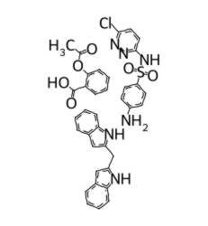 CC(=O)Oc1ccccc1C(=O)O.Nc1ccc(S(=O)(=O)Nc2ccc(Cl)nn2)cc1.c1ccc2[nH]c(Cc3cc4ccccc4[nH]3)cc2c1